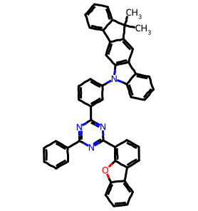 CC1(C)c2ccccc2-c2cc3c(cc21)c1ccccc1n3-c1cccc(-c2nc(-c3ccccc3)nc(-c3cccc4c3oc3ccccc34)n2)c1